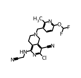 Cc1nc(OC(F)F)ccc1CN1CCc2c(NCC#N)nc(Cl)c(C#N)c2C1